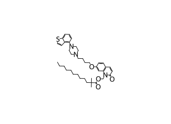 CCCCCCCCCCC(C)(C)C(=O)OCn1c(=O)ccc2ccc(OCCCCN3CCN(c4cccc5sccc45)CC3)cc21